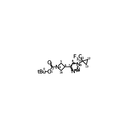 CC(C)(C)OC(=O)N1CC(c2cn(C3(C(F)(F)F)CC3)nn2)C1